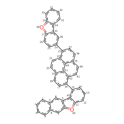 c1ccc2cc3c(cc2c1)oc1cccc(-c2ccc4ccc5c(-c6ccc7oc8ccccc8c7c6)ccc6ccc2c4c65)c13